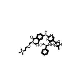 Cc1noc(-c2cnc(Nc3ccc4c(c3)CCN(COCC[Si](C)(C)C)C4=O)nc2N[C@H](CO)c2ccccc2)n1